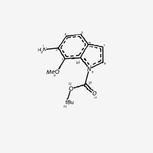 COc1c(N)ccc2ccn(C(=O)OC(C)(C)C)c12